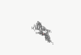 Nc1nc2c(ncn2C2OC3COP(=O)(O)O[C@H]4CC(OC4n4cnc5c(N)ncnc54)C(O)COC3C2F)c(=O)[nH]1